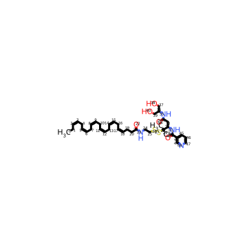 CC/C=C\C/C=C\C/C=C\C/C=C\C/C=C\C/C=C\CCC(=O)NCCSSC(C)(C)C(CC(=O)NC(CO)CO)NC(=O)c1cccnc1